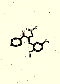 COc1ccc(OC)c(/C=C(\C[N+](=O)[O-])C(=O)c2ccccc2)c1